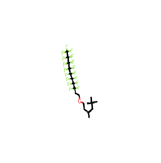 CC(CCOCCC(F)(F)C(F)(F)C(F)(F)C(F)(F)C(F)(F)C(F)(F)C(F)(F)C(F)(F)F)CC(C)(C)C